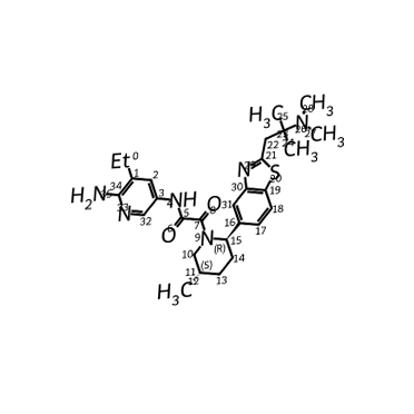 CCc1cc(NC(=O)C(=O)N2C[C@@H](C)CC[C@@H]2c2ccc3sc(CC(C)(C)N(C)C)nc3c2)cnc1N